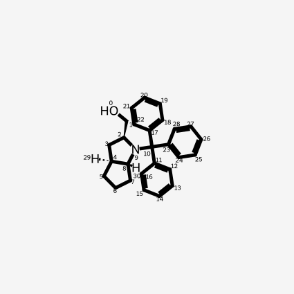 OC[C@@H]1C[C@@H]2CCC[C@@H]2N1C(c1ccccc1)(c1ccccc1)c1ccccc1